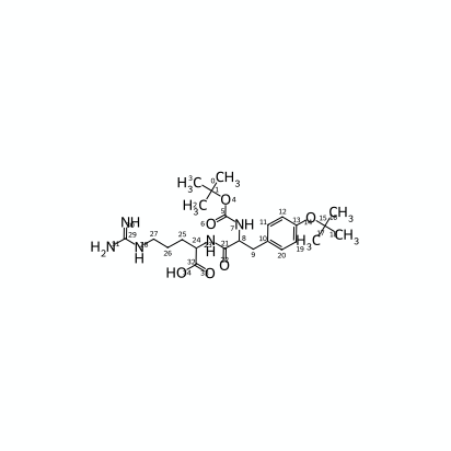 CC(C)(C)OC(=O)NC(Cc1ccc(OC(C)(C)C)cc1)C(=O)NC(CCCNC(=N)N)C(=O)O